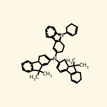 CC1(C)C2=CC(N(C3=Cc4c(n(C5=CC=CCC5)c5ccccc45)CC3)C3=CC=C4C5=C(CCC=C5)C(C)(C)C4C3)=CCC2c2ccccc21